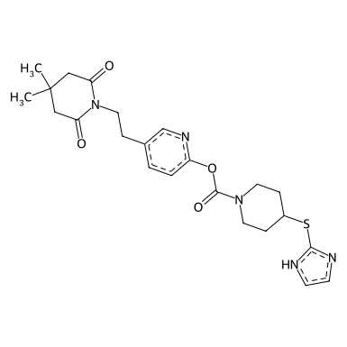 CC1(C)CC(=O)N(CCc2ccc(OC(=O)N3CCC(Sc4ncc[nH]4)CC3)nc2)C(=O)C1